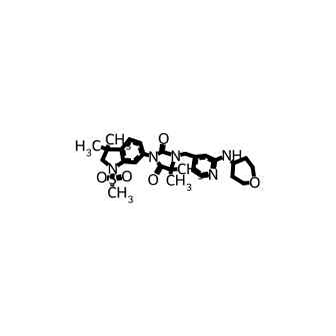 CC1(C)CN(S(C)(=O)=O)c2cc(N3C(=O)N(Cc4ccnc(NC5CCOCC5)c4)C(C)(C)C3=O)ccc21